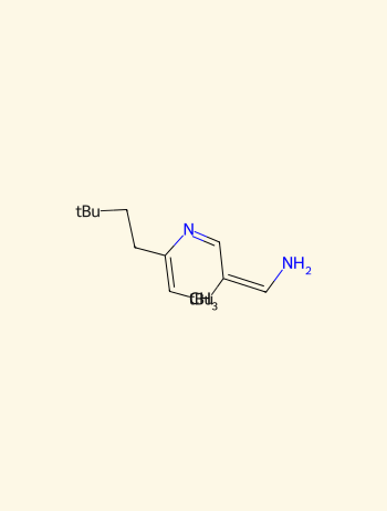 C\C=C(CCC(C)(C)C)/N=C\C(=C/N)C(C)(C)C